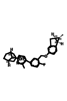 Cc1nc(N2[C@@H]3CC[C@H]2CC(O)C3)ccc1-c1ccc(F)c(COc2ccc3c(c2)C[C@H]2[C@H](C)[C@@H]32)c1